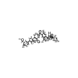 COC[C@H]1CN(c2ccc3c4c(c(=O)oc3c2C)CN(C(=O)c2cc(N(C)C)c(C(=O)NS(=O)(=O)N3CC5CC5C3)cc2F)CC4)CCN1C